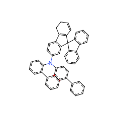 C1=CC2=C(CC1)c1ccc(N(c3ccc(-c4ccccc4)cc3)c3ccccc3-c3ccccc3)cc1C21c2ccccc2-c2ccccc21